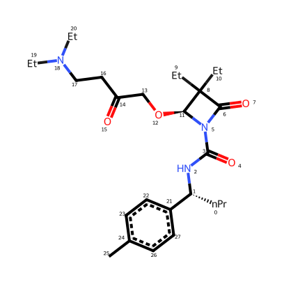 CCC[C@@H](NC(=O)N1C(=O)C(CC)(CC)[C@@H]1OCC(=O)CCN(CC)CC)c1ccc(C)cc1